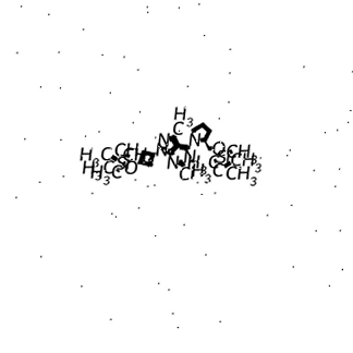 Cc1nn([C@H]2C[C@H](O[Si](C)(C)C(C)(C)C)C2)c2nc(Cl)nc(N3CCC[C@H]3CO[Si](C)(C)C(C)(C)C)c12